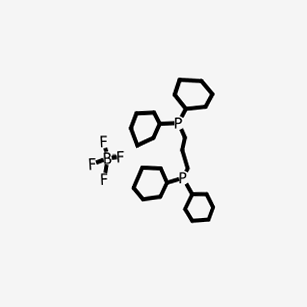 C1CCC(P(CCCP(C2CCCCC2)C2CCCCC2)C2CCCCC2)CC1.F[B-](F)(F)F